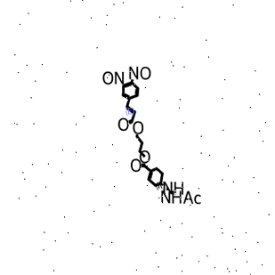 CC(=O)NN[C@H]1CC=C(C(=O)OCCCOC(=O)/C=C/c2ccc(N=O)c(N=O)c2)CC1